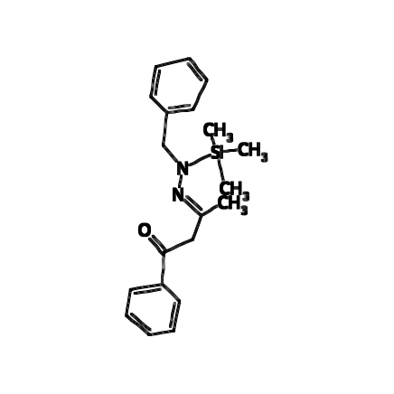 CC(CC(=O)c1ccccc1)=NN(Cc1ccccc1)[Si](C)(C)C